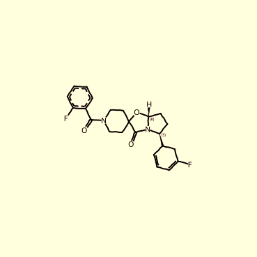 O=C(c1ccccc1F)N1CCC2(CC1)O[C@@H]1CC[C@@H](C3C=CC=C(F)C3)N1C2=O